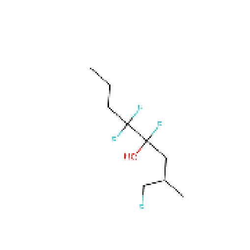 CCCC(F)(F)C(O)(F)CC(C)CF